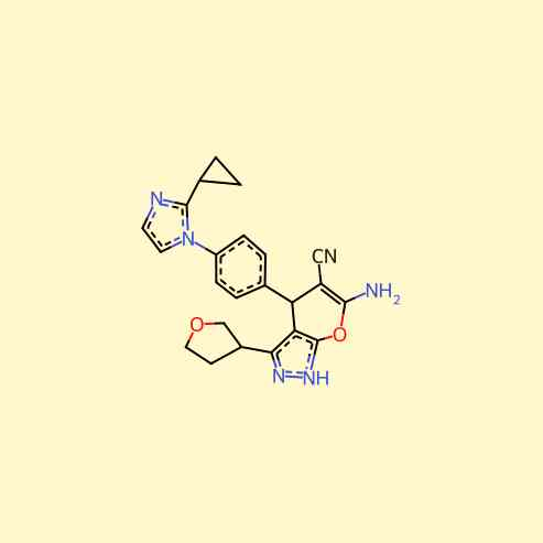 N#CC1=C(N)Oc2[nH]nc(C3CCOC3)c2C1c1ccc(-n2ccnc2C2CC2)cc1